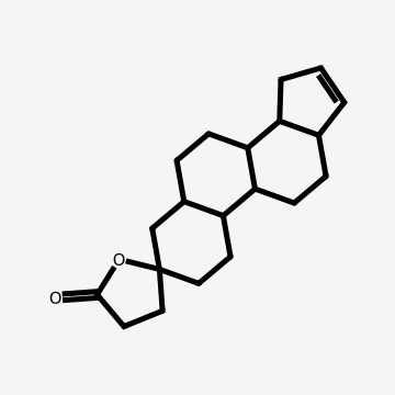 O=C1CCC2(CCC3C(CCC4C5CC=CC5CCC34)C2)O1